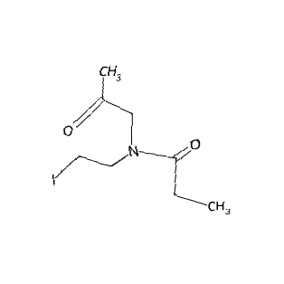 CCC(=O)N(CCI)CC(C)=O